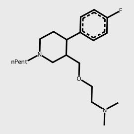 CCCCCN1CCC(c2ccc(F)cc2)C(COCCN(C)C)C1